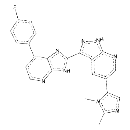 Cc1ncc(-c2cnc3[nH]nc(-c4nc5c(-c6ccc(F)cc6)ccnc5[nH]4)c3c2)n1C